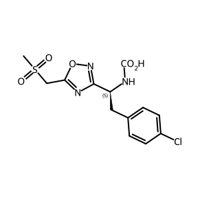 CS(=O)(=O)Cc1nc([C@H](Cc2ccc(Cl)cc2)NC(=O)O)no1